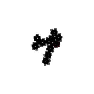 c1ccc(-c2ccc(-c3ccc(N(c4cccc(-c5ccc6c(c5)c5ccccc5n6-c5ccccc5)c4)c4ccccc4-c4cccc(-c5ccccc5)c4-c4ccccc4-c4ccccc4)cc3)cc2)cc1